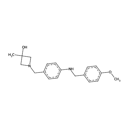 COc1ccc(CNc2ccc(CN3CC(C)(O)C3)cc2)cc1